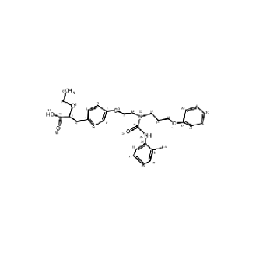 CCOC(Cc1ccc(OCCN(CCCOc2ccccc2)C(=O)Nc2ccccc2F)cc1)C(=O)O